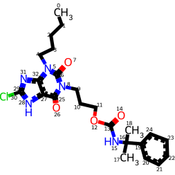 CCCCCn1c(=O)n(CCCOC(=O)NC(C)(C)c2ccccc2)c(=O)c2[nH]c(Cl)nc21